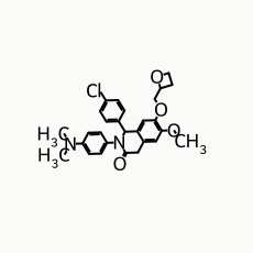 COc1cc2c(cc1OCC1CCO1)C(c1ccc(Cl)cc1)N(c1ccc(N(C)C)cc1)C(=O)C2